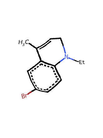 CCN1CC=C(C)c2cc(Br)ccc21